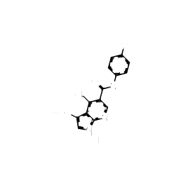 Cc1cn(C)c2ncc(C(=O)Nc3ccc(O)cc3)c(Cl)c12